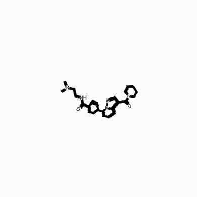 CN(C)CCNC(=O)c1ccc(-c2cccc3c(C(=O)N4CCCCC4)cnn23)cc1